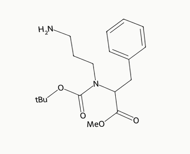 COC(=O)C(Cc1ccccc1)N(CCCN)C(=O)OC(C)(C)C